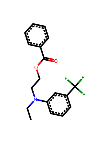 CCN(CCOC(=O)c1ccccc1)c1cccc(C(F)(F)F)c1